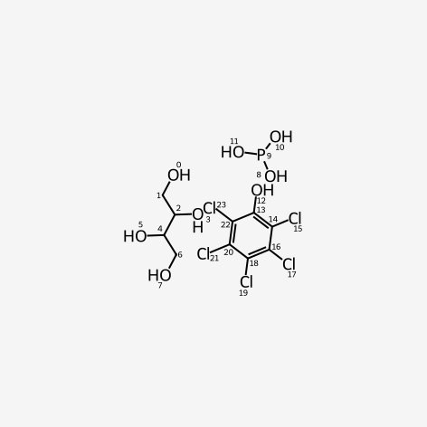 OCC(O)C(O)CO.OP(O)O.Oc1c(Cl)c(Cl)c(Cl)c(Cl)c1Cl